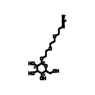 [N-]=[N+]=NCCOCCOCCO[C@H]1OC(CO)[C@@H](O)C(O)[C@H]1O